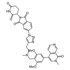 COc1cc(-c2cn(C)c(=O)c3cnccc23)cc(OC)c1CN(C)CCc1cn(-c2ccc3c(c2)C(=O)N(C2CCC(=O)NC2=O)C3=O)nn1